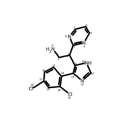 NCC(c1ncccn1)c1[nH]cnc1-c1ccc(Cl)cc1Cl